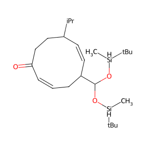 CC(C)C1C=CC(C(O[SiH](C)C(C)(C)C)O[SiH](C)C(C)(C)C)CC=CC(=O)CC1